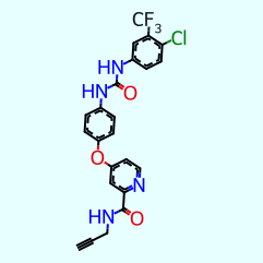 C#CCNC(=O)c1cc(Oc2ccc(NC(=O)Nc3ccc(Cl)c(C(F)(F)F)c3)cc2)ccn1